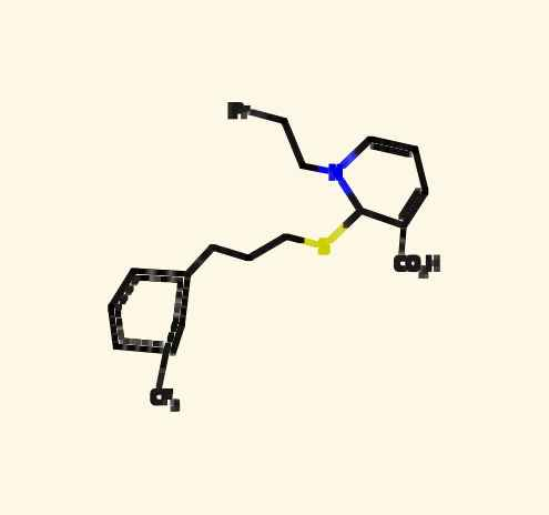 CC(C)CCN1C=CC=C(C(=O)O)C1SCCCc1cccc(C(F)(F)F)c1